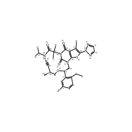 CCc1ccc(F)cc1[C@H](Cn1c(=O)n(C(C)(C)C(=O)NC(C)C)c(=O)c2c(C)c(-n3nccn3)sc21)OC[C@@H](C)C#N